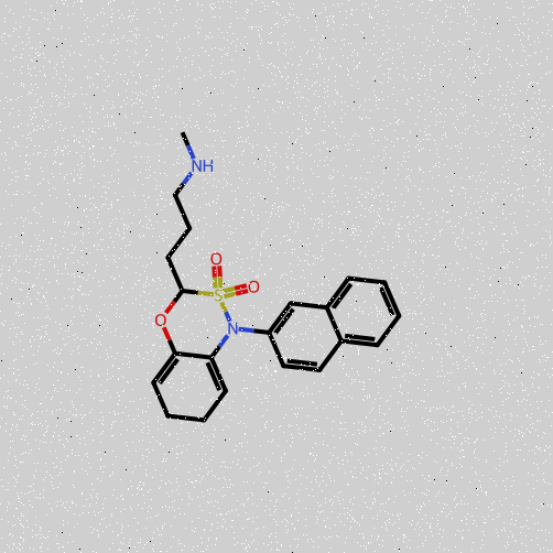 CNCCCC1OC2=CCCC=C2N(c2ccc3ccccc3c2)S1(=O)=O